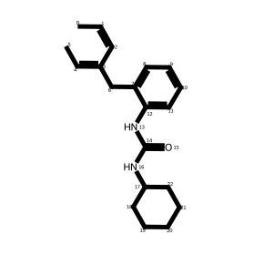 C/C=C\C(=C/C)Cc1ccccc1NC(=O)NC1CCCCC1